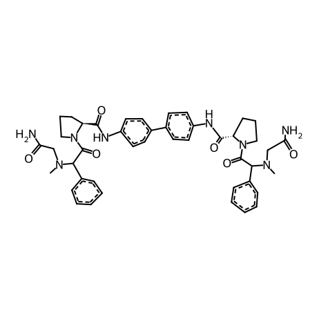 CN(CC(N)=O)C(C(=O)N1CCC[C@H]1C(=O)Nc1ccc(-c2ccc(NC(=O)[C@@H]3CCCN3C(=O)C(c3ccccc3)N(C)CC(N)=O)cc2)cc1)c1ccccc1